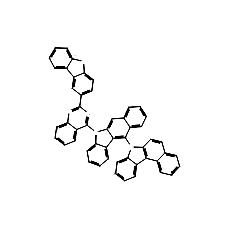 c1ccc2c(-n3c4ccccc4c4c5ccccc5ccc43)c3c4ccccc4n(-c4nc(-c5ccc6sc7ccccc7c6c5)nc5ccccc45)c3cc2c1